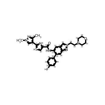 Cc1nn(C)cc1-c1nc(C(=O)Nc2cc3cn(CCN4CCOCC4)nc3cc2-c2ccc(F)cc2)cs1